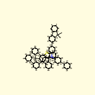 CC1(C)c2ccccc2-c2ccc(-c3ccc(N(c4ccc(-c5ccccc5)cc4)c4ccc(-c5cccc6c5C5(c7ccccc7-6)c6ccccc6-c6c5ccc5c6sc6ccccc65)c5ccccc45)cc3)cc21